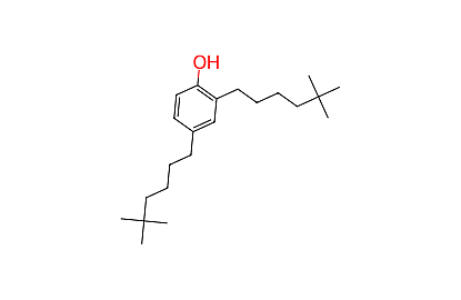 CC(C)(C)CCCCc1ccc(O)c(CCCCC(C)(C)C)c1